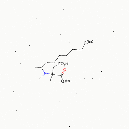 CCCCCCCCCCCCCCCCC(C)N(C)C(C)(CC(=O)O)C(=O)OC